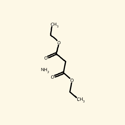 CCOC(=O)CC(=O)OCC.N